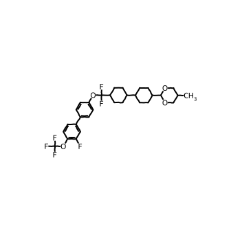 CC1COC(C2CCC(C3CCC(C(F)(F)Oc4ccc(-c5ccc(OC(F)(F)F)c(F)c5)cc4)CC3)CC2)OC1